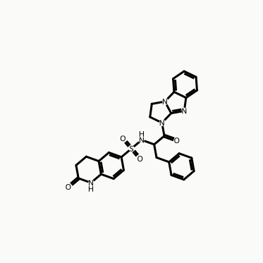 O=C1CCc2cc(S(=O)(=O)NC(Cc3ccccc3)C(=O)N3CCn4c3nc3ccccc34)ccc2N1